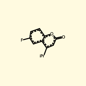 CC(C)c1cc(=O)oc2ccc(F)cc12